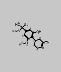 CCCCCCC(O)(CC)c1cc(O)c(C2CCC=C(C)C2)c(OC(C)C)c1